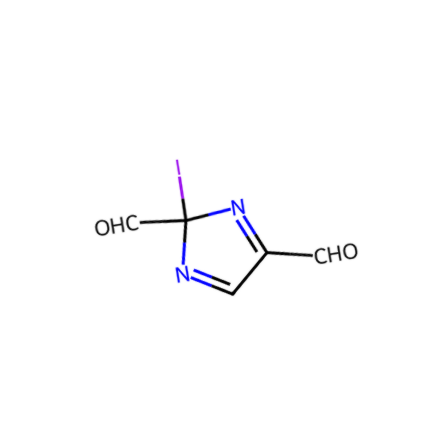 O=CC1=NC(I)(C=O)N=C1